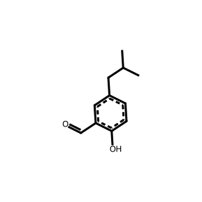 CC(C)Cc1ccc(O)c(C=O)c1